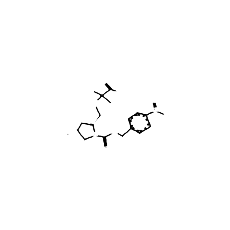 CC(C)(OC[C@@H]1C[C@@H](O)CN1C(=O)OCc1ccc([N+](=O)[O-])cc1)C(=O)O